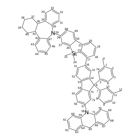 Cc1cccc(C2(c3cccc(C)c3)c3cc(-c4cccc5c4[Si](C)(C)c4cc(N6c7ccccc7C7CCCCC7c7ccccc76)ccc4-5)ccc3-c3ccc(N4c5ccccc5Cc5ccccc54)cc32)c1